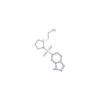 O=S(=O)(c1ccc2cn[nH]c2c1)N1CCC[C@@H]1CCO